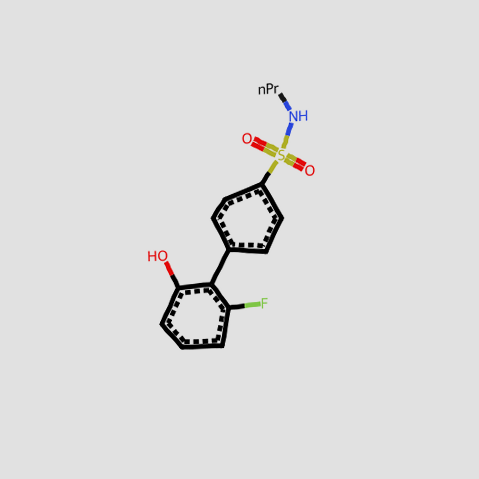 CCCNS(=O)(=O)c1ccc(-c2c(O)cccc2F)cc1